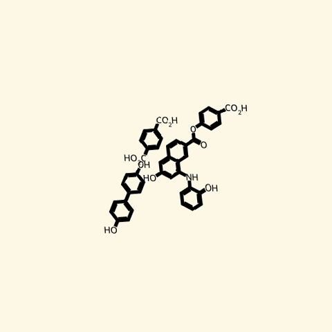 O=C(O)c1ccc(C(=O)O)cc1.O=C(O)c1ccc(OC(=O)c2ccc3cc(O)cc(Nc4ccccc4O)c3c2)cc1.Oc1ccc(-c2ccc(O)cc2)cc1